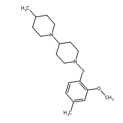 COc1cc(C)ccc1SN1CCC(N2CCC(C)CC2)CC1